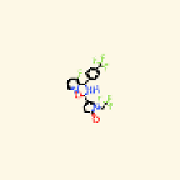 O=C(NC(c1ccc(C(F)(F)F)cc1)c1ncccc1F)c1ccc(=O)n(CC(F)(F)F)c1